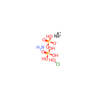 N.O=P(O)(O)O.O=P([O-])([O-])O.OCl.[K+].[Na+]